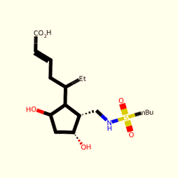 CCCCS(=O)(=O)NC[C@H]1C(C(CC)CC=CC(=O)O)C(O)C[C@H]1O